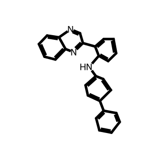 c1ccc(-c2ccc(Nc3ccccc3-c3cnc4ccccc4n3)cc2)cc1